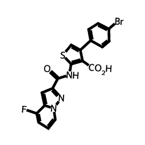 O=C(Nc1scc(-c2ccc(Br)cc2)c1C(=O)O)c1cc2c(F)cccn2n1